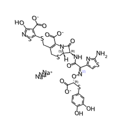 Nc1nc(/C(=N/O[C@H](Sc2ccc(O)c(O)c2)C(=O)[O-])C(=O)N[C@@H]2C(=O)N3C(C(=O)[O-])=C(CSc4snc(O)c4C(=O)[O-])CS[C@@H]23)cs1.[Na+].[Na+].[Na+]